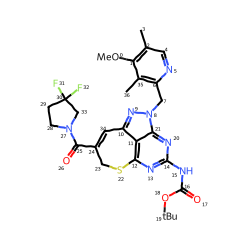 COc1c(C)cnc(Cn2nc3c4c(nc(NC(=O)OC(C)(C)C)nc42)SCC(C(=O)N2CCC(F)(F)C2)=C3)c1C